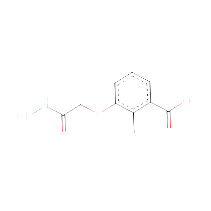 Cc1c(OCC(=O)NN)cccc1C(=O)O